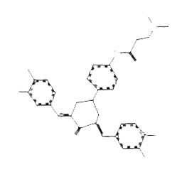 Cc1cc(/C=C2\CC(c3ccc(NC(=O)CCN(C)C)cc3)C/C(=C\c3ccc(F)c(F)c3)C2=O)ccc1F